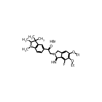 Br.CCOc1cc2c(c(F)c1OCC)C(=N)N(CC(=O)c1ccc3c(c1)C(C)(C)C(C)N3C)C2